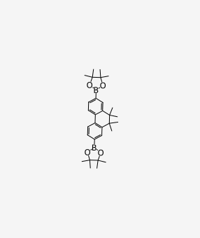 CC1(C)OB(c2ccc3c(c2)C(C)(C)C(C)(C)c2cc(B4OC(C)(C)C(C)(C)O4)ccc2-3)OC1(C)C